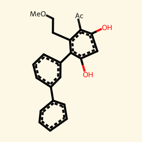 COCCc1c(C(C)=O)c(O)cc(O)c1-c1cccc(-c2ccccc2)c1